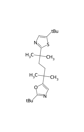 CC(C)(C)c1ncc(C(C)(C)CCC(C)(C)c2ncc(C(C)(C)C)s2)o1